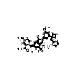 COc1cc(C2(Cc3nncn3C)CCC2)cc(N2Cc3c(cc(CN4CCN(C)C[C@@H]4C(C)C)cc3C(F)(F)F)C2=O)n1